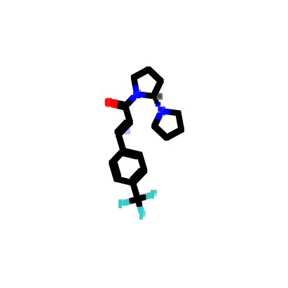 O=C(/C=C/c1ccc(C(F)(F)F)cc1)N1CCC[C@@H]1N1CCCC1